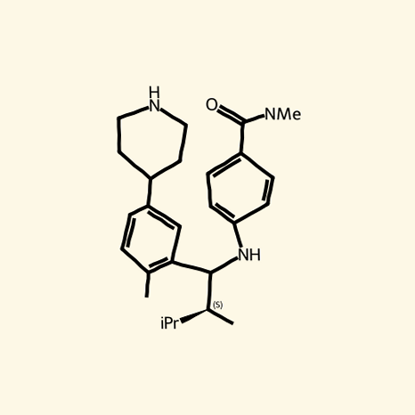 CNC(=O)c1ccc(NC(c2cc(C3CCNCC3)ccc2C)[C@@H](C)C(C)C)cc1